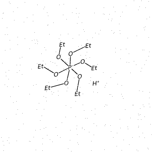 CCO[P-](OCC)(OCC)(OCC)(OCC)OCC.[H+]